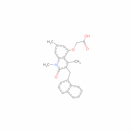 Cc1cc(OCC(=O)O)c2c(C)c(Cc3cccc4ccccc34)c(=O)n(C)c2c1